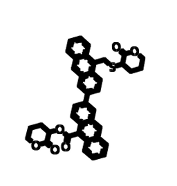 O=C(OC1CCCOC1=O)c1c2ccccc2cc2cc(-c3ccc4c(CSC5CCCOC5=O)c5ccccc5cc4c3)ccc12